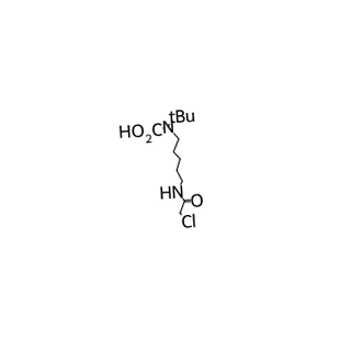 CC(C)(C)N(CCCCCNC(=O)CCl)C(=O)O